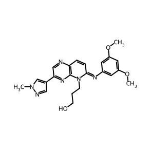 COc1cc(/N=c2\ccc3ncc(-c4cnn(C)c4)nc3n2CCCO)cc(OC)c1